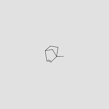 CC12[C]=[C]C(CC1)C2